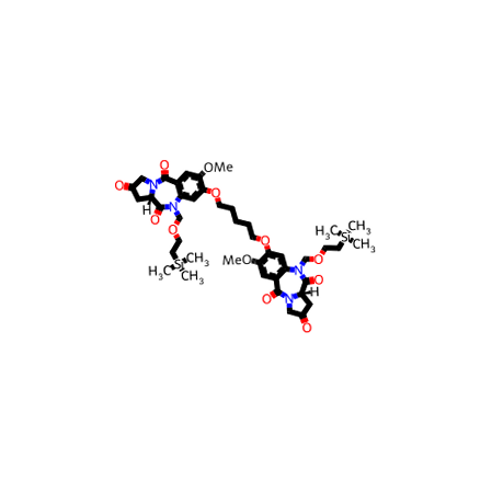 COc1cc2c(cc1OCCCCCOc1cc3c(cc1OC)C(=O)N1CC(=O)C[C@H]1C(=O)N3COCC[Si](C)(C)C)N(COCC[Si](C)(C)C)C(=O)[C@@H]1CC(=O)CN1C2=O